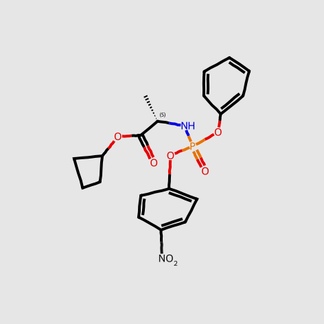 C[C@H](NP(=O)(Oc1ccccc1)Oc1ccc([N+](=O)[O-])cc1)C(=O)OC1CCC1